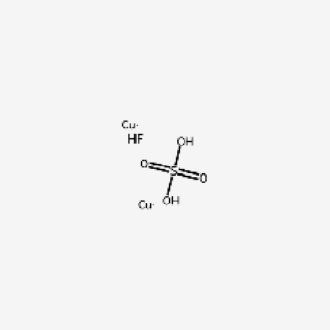 F.O=S(=O)(O)O.[Cu].[Cu]